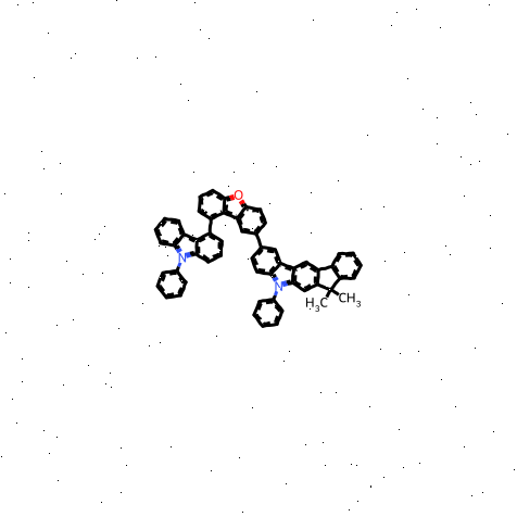 CC1(C)c2ccccc2-c2cc3c4cc(-c5ccc6oc7cccc(-c8cccc9c8c8ccccc8n9-c8ccccc8)c7c6c5)ccc4n(-c4ccccc4)c3cc21